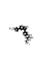 CC(C)[C@@H](Nc1cncc(-c2c[nH]c3ncc(-c4cnn(C)c4)cc23)c1)C(=O)NCC(F)(F)F